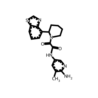 Cc1cc(NC(=O)C(=O)N2CCCCC2c2cccc3scnc23)cnc1N